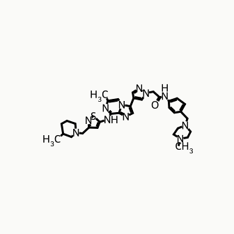 Cc1cn2c(-c3cnn(CC(=O)Nc4ccc(CN5CCN(C)CC5)cc4)c3)cnc2c(Nc2cc(CN3CCCC(C)C3)ns2)n1